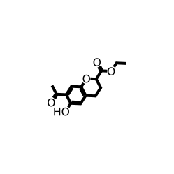 CCOC(=O)C1CCc2cc(O)c(C(C)=O)cc2O1